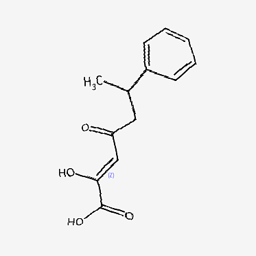 CC(CC(=O)/C=C(\O)C(=O)O)c1ccccc1